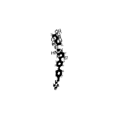 CS(C)(=O)=NCc1ccc(-c2ccc(-c3nc4[nH]c(O[C@@H]5CO[C@H]6[C@@H]5OC[C@H]6O)nc4cc3Cl)cc2)cc1